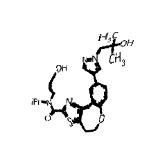 CC(C)N(CCO)C(=O)c1nc2c(s1)CCOc1ccc(-c3cnn(CC(C)(C)O)c3)cc1-2